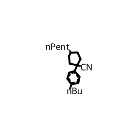 CCCCCC1CCC(C#N)(c2ccc(CCCC)cc2)CC1